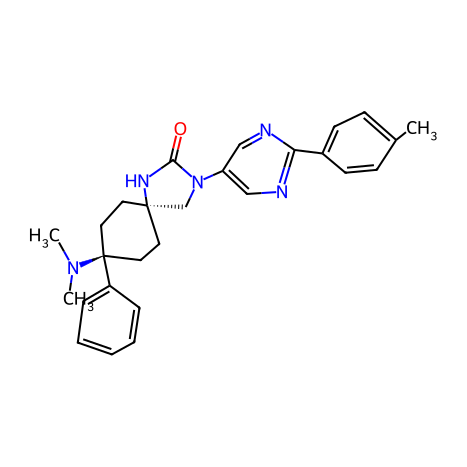 Cc1ccc(-c2ncc(N3C[C@]4(CC[C@](c5ccccc5)(N(C)C)CC4)NC3=O)cn2)cc1